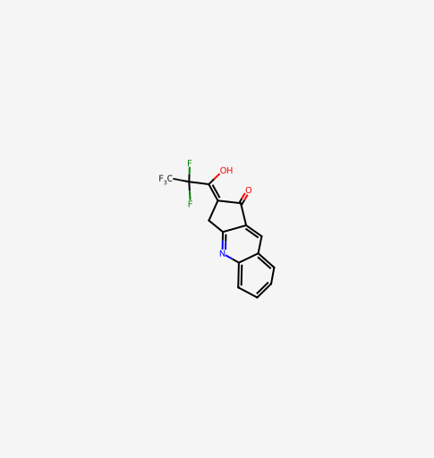 O=C1/C(=C(\O)C(F)(F)C(F)(F)F)Cc2nc3ccccc3cc21